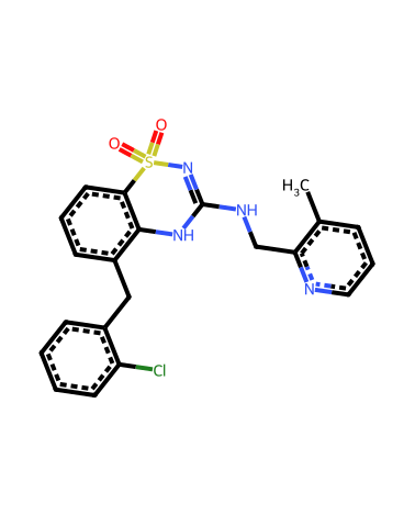 Cc1cccnc1CNC1=NS(=O)(=O)c2cccc(Cc3ccccc3Cl)c2N1